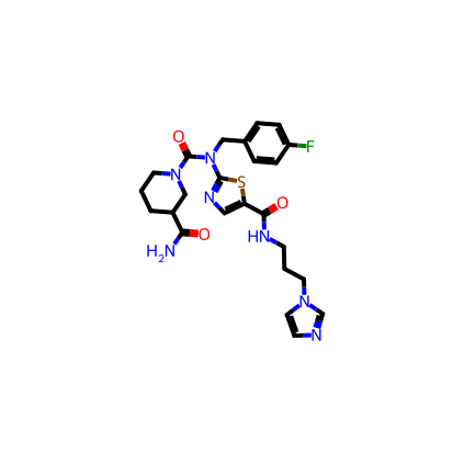 NC(=O)C1CCCN(C(=O)N(Cc2ccc(F)cc2)c2ncc(C(=O)NCCCn3ccnc3)s2)C1